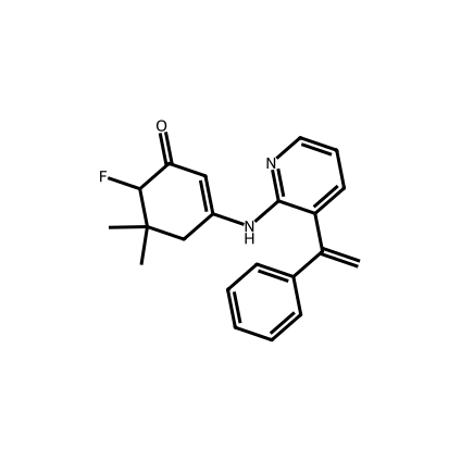 C=C(c1ccccc1)c1cccnc1NC1=CC(=O)C(F)C(C)(C)C1